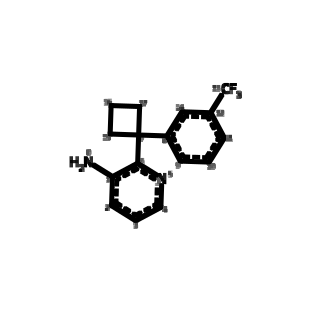 Nc1cccnc1C1(c2cccc(C(F)(F)F)c2)CCC1